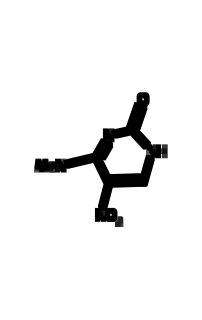 CNc1nc(=O)[nH]cc1[N+](=O)[O-]